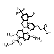 CCOC(=O)N1c2ccc(OC)nc2[C@@H](N(Cc2cc(CF)cc(C(F)(F)F)c2)c2ncc(CCC(=O)O)cn2)C[C@H]1C